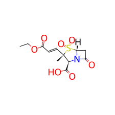 CCOC(=O)/C=C/[C@@]1(C)[C@H](C(=O)O)N2C(=O)C[C@H]2S1(=O)=O